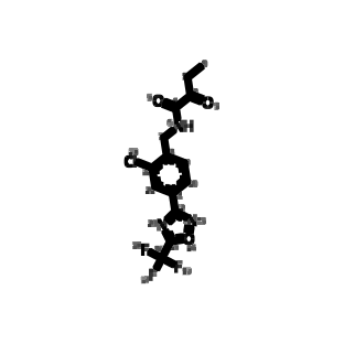 CCC(=O)C(=O)NCc1ccc(-c2noc(C(F)(F)F)n2)cc1Cl